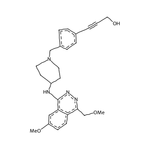 COCc1nnc(NC2CCN(Cc3ccc(C#CCO)cc3)CC2)c2cc(OC)ccc12